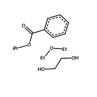 CC(C)OC(=O)c1ccccc1.CCOCC.OCCO